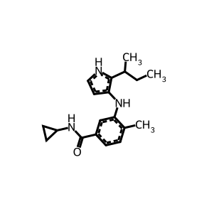 CCC(C)c1[nH]ccc1Nc1cc(C(=O)NC2CC2)ccc1C